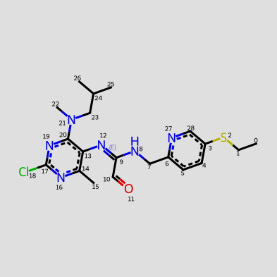 CCSc1ccc(CN/C(C=O)=N/c2c(C)nc(Cl)nc2N(C)CC(C)C)nc1